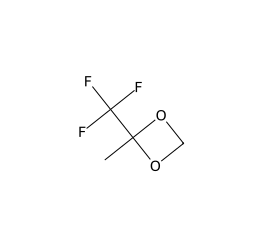 CC1(C(F)(F)F)OCO1